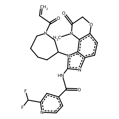 C=CC(=O)N1CCCCC(n2c(NC(=O)c3ccnc(C(F)F)c3)nc3ccc4c(c32)N(C)C(=O)CO4)C1